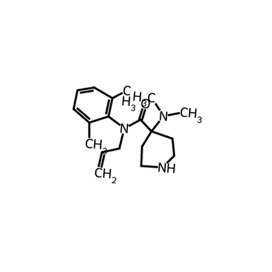 C=CCN(C(=O)C1(N(C)C)CCNCC1)c1c(C)cccc1C